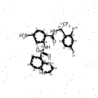 Bc1ccc(C(=O)N[C@@H](c2ccc(F)cc2F)C(F)(F)F)c(NS(=O)(=O)c2cccc3nccnc23)c1